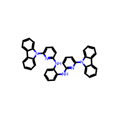 c1cc(Nc2ccccc2Nc2cccc(-n3c4ccccc4c4ccccc43)n2)nc(-n2c3ccccc3c3ccccc32)c1